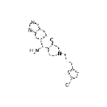 NC(c1ccc2cncnc2c1)N1CCN(CCCc2ccc(Cl)s2)CC1=O